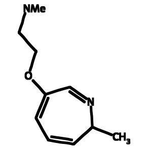 CNCCOC1=CC=CC(C)N=C1